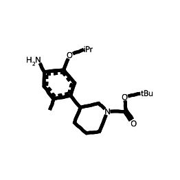 Cc1cc(N)c(OC(C)C)cc1C1CCCN(C(=O)OC(C)(C)C)C1